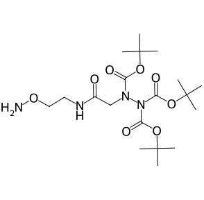 CC(C)(C)OC(=O)N(CC(=O)NCCON)N(C(=O)OC(C)(C)C)C(=O)OC(C)(C)C